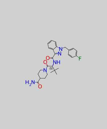 CC(C)(C)[C@H](NC(=O)c1nn(Cc2ccc(F)cc2)c2ccccc12)C(=O)N1CCC(C(N)=O)CC1